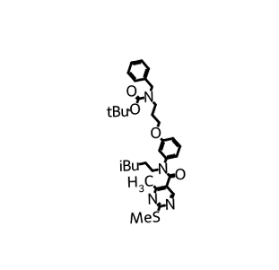 CCC(C)CCN(C(=O)c1cnc(SC)nc1C)c1cccc(OCCCN(Cc2ccccc2)C(=O)OC(C)(C)C)c1